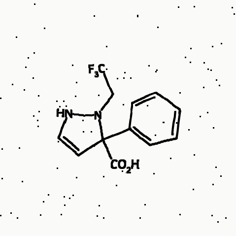 O=C(O)C1(c2ccccc2)C=CNN1CC(F)(F)F